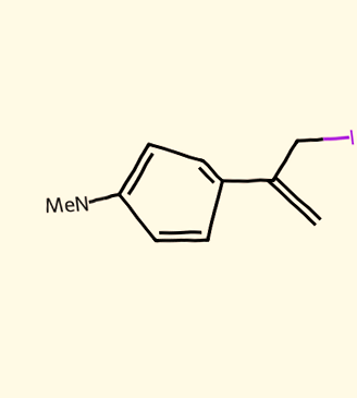 C=C(CI)c1ccc(NC)cc1